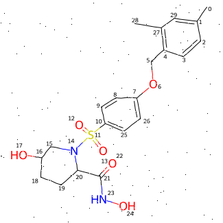 Cc1ccc(COc2ccc(S(=O)(=O)N3CC(O)CCC3C(=O)NO)cc2)c(C)c1